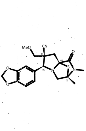 COC[C@]1(C#N)C[C@@]23S[C@@](C)(CN2[C@H]1c1ccc2c(c1)OCO2)N(C)C3=O